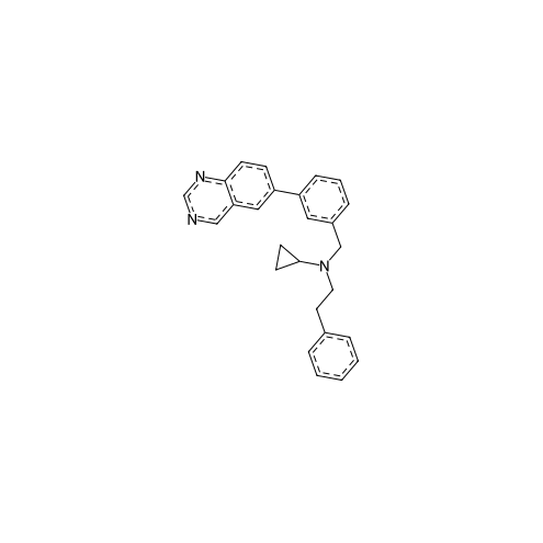 c1ccc(CCN(Cc2cccc(-c3ccc4ncncc4c3)c2)C2CC2)cc1